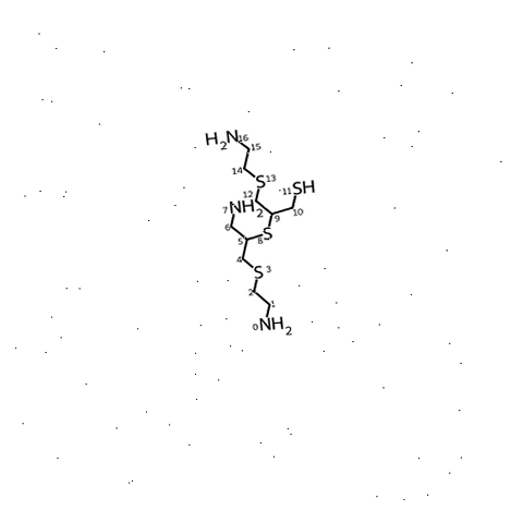 NCCSCC(CN)SC(CS)CSCCN